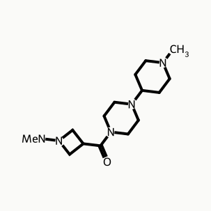 CNN1CC(C(=O)N2CCN(C3CCN(C)CC3)CC2)C1